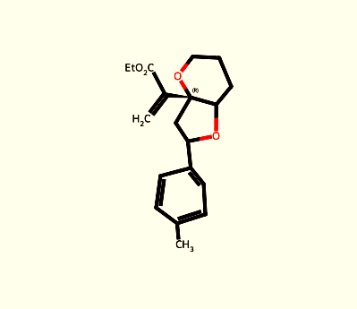 C=C(C(=O)OCC)[C@]12CC(c3ccc(C)cc3)OC1CCCO2